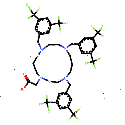 O=C(O)CN1CCCN(Cc2cc(C(F)(F)F)cc(C(F)(F)F)c2)CCN(Cc2cc(C(F)(F)F)cc(C(F)(F)F)c2)CCCN(Cc2cc(C(F)(F)F)cc(C(F)(F)F)c2)CC1